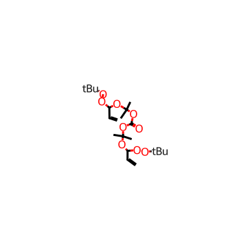 C=CC(OOC(C)(C)C)OC(C)(C)OC(=O)OC(C)(C)OC(C=C)OOC(C)(C)C